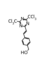 OCc1ccc(C=Cc2nc(C(Cl)(Cl)Cl)nc(C(Cl)(Cl)Cl)n2)cc1